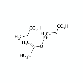 C=C(OCC)C(=O)O.C=CC(=O)O.C=CC(=O)O